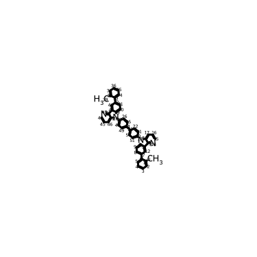 Cc1ccccc1-c1ccc2c(c1)c1ncccc1n2-c1ccc(-c2ccc(-n3c4ccc(-c5ccccc5C)cc4c4ncccc43)cc2)cc1